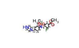 CCS(=O)(=O)N(Cc1ccc(C(=O)OC)cc1F)c1ccc(CN2CCNCC2)cc1